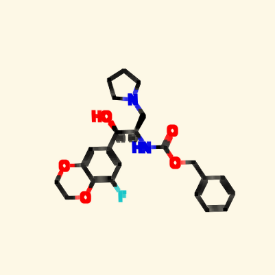 O=C(N[C@H](CN1CCCC1)[C@H](O)c1cc(F)c2c(c1)OCCO2)OCc1ccccc1